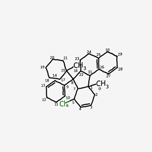 CC12CC=CC(Cl)C1C(C1=CCCC=C1)(C1(C)CCCCC1)C1CCC3=C(C=CCC3)C12